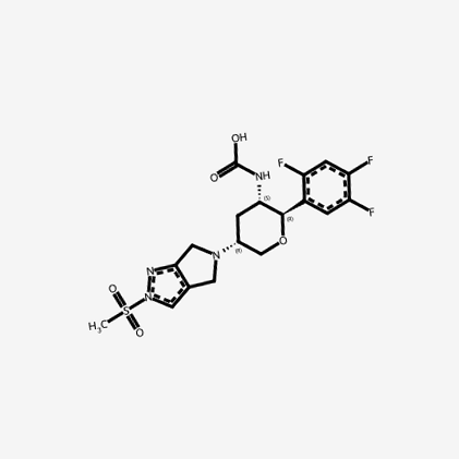 CS(=O)(=O)n1cc2c(n1)CN([C@H]1CO[C@H](c3cc(F)c(F)cc3F)[C@@H](NC(=O)O)C1)C2